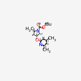 Cc1cc(C)nc(O[C@@H]2C[C@H](C)N(C(=O)OC(C)(C)C)C2)c1